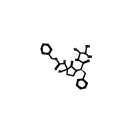 CC[C@H](NC(=O)[C@H](Cc1ccccc1)N1CCC(NC(=O)OCc2ccccc2)(C(C)C)C1=O)B(O)O